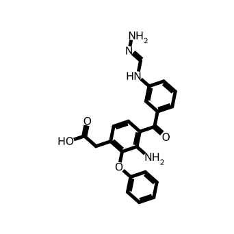 NN=CNc1cccc(C(=O)c2ccc(CC(=O)O)c(Oc3ccccc3)c2N)c1